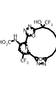 O=C(O)Nc1cc(C(F)(F)F)c2nc1-c1nnc(o1)C(O)(C(F)(F)F)CCCCCCc1nnc-2o1